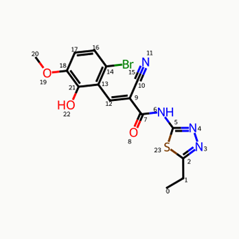 CCc1nnc(NC(=O)C(C#N)=Cc2c(Br)ccc(OC)c2O)s1